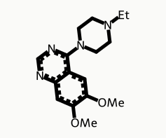 CCN1CCN(c2ncnc3cc(OC)c(OC)cc23)CC1